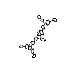 c1ccc(-c2ccc(N(c3ccc(-c4ccccc4)cc3)c3ccc(-c4ccc5c(c4)sc4c6ccc(-c7ccc(N(c8ccc(-c9ccccc9)cc8)c8ccc(-c9ccccc9)cc8)cc7)cc6c6ccccc6c54)cc3)cc2)cc1